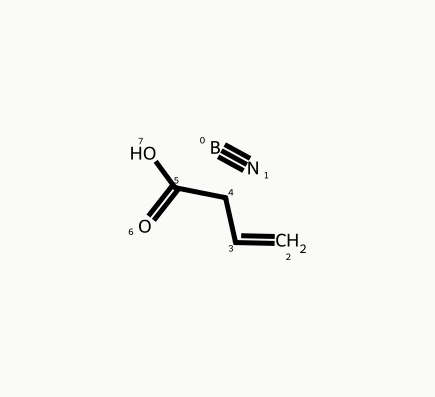 B#N.C=CCC(=O)O